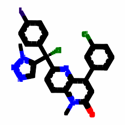 Cn1nncc1[C@@](Cl)(c1ccc(I)cc1)c1ccc2c(n1)c(-c1cccc(Cl)c1)cc(=O)n2C